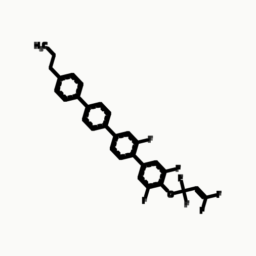 CCCc1ccc(-c2ccc(-c3ccc(-c4cc(F)c(OC(F)(F)C=C(F)F)c(F)c4)c(F)c3)cc2)cc1